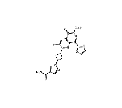 NC(=O)c1cnn(C2CN(c3nc4c(cc3F)c(=O)c(C(=O)O)cn4-c3nccs3)C2)c1